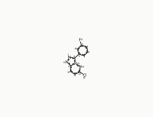 Fc1cccc(-c2nnc3ccc(Cl)nn23)c1